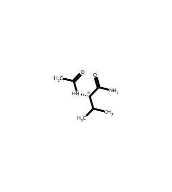 [CH2]C(=O)N[C@H](C(N)=O)C(C)C